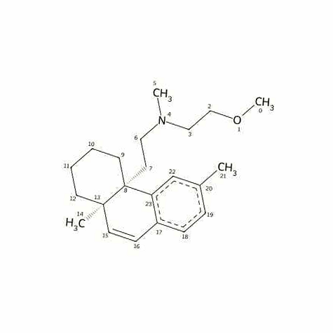 COCCN(C)CC[C@@]12CCCC[C@]1(C)C=Cc1ccc(C)cc12